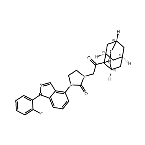 O=C1N(CC(=O)N2C[C@@H]3C[C@H]4C[C@@H](C3)C[C@H]2C4)CCN1c1cccc2c1cnn2-c1ccccc1F